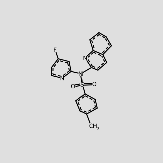 Cc1ccc(S(=O)(=O)N(c2cc(F)ccn2)c2ccc3ccccc3n2)cc1